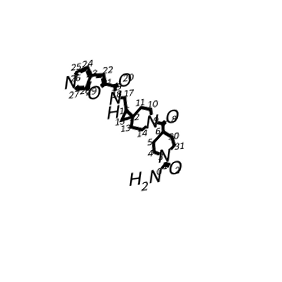 NC(=O)N1CCC(C(=O)N2CCC3(CC2)CC3CNC(=O)c2cc3ccncc3o2)CC1